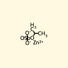 CC(C)[O][Sb](=[O])([O-])[O-].[Zn+2]